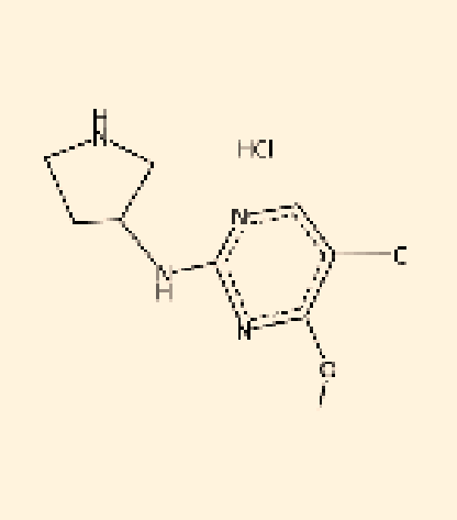 COc1nc(NC2CCNC2)ncc1Cl.Cl